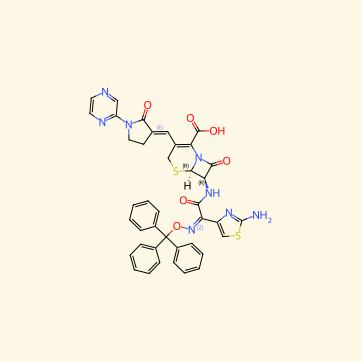 Nc1nc(/C(=N/OC(c2ccccc2)(c2ccccc2)c2ccccc2)C(=O)N[C@@H]2C(=O)N3C(C(=O)O)=C(/C=C4\CCN(c5cnccn5)C4=O)CS[C@H]23)cs1